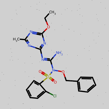 CCOc1nc(C)nc(N=C(N)N(OCc2ccccc2)S(=O)(=O)c2ccccc2Cl)n1